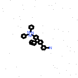 N#Cc1cccc(-c2ccc3c(c2)C2(c4cc(-c5nc(-c6ccccc6)nc(-c6ccccc6)n5)ccc4-3)C3CC4CC(C3)CC2C4)c1